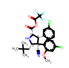 COc1cc(Cl)ccc1[C@@]1(C#N)[C@H](CC(C)(C)C)N[C@H](C(=O)OC(=O)C(F)(F)F)[C@@H]1c1cccc(Cl)c1